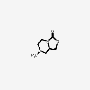 CN1CCN2C(=O)OCC2C1